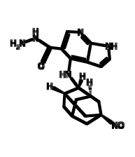 NNC(=O)c1cnc2[nH]ccc2c1N[C@@H]1[C@@H]2CC3C[C@H]1C[C@@](N=O)(C3)C2